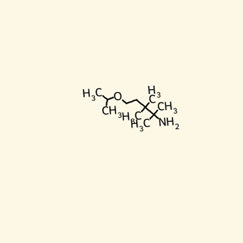 CC(C)OCCC(C)(C)C(C)(C)N